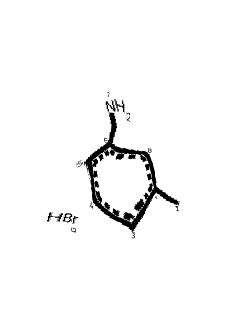 Br.Cc1cccc(N)c1